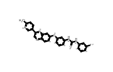 Cc1ccc(-c2cnc3ccc(Oc4cccc(NC(=O)Nc5cccc(F)c5)c4)cc3n2)cn1